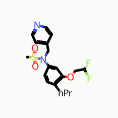 CCCc1ccc(N(Cc2ccncc2)S(C)(=O)=O)cc1OCC(F)F